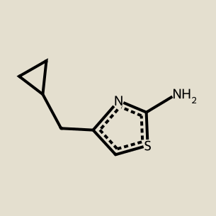 Nc1nc(CC2CC2)cs1